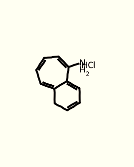 Cl.NC1=CC=CC=C2CC=CC=C12